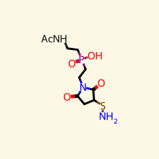 CC(=O)NCCP(=O)(O)CCN1C(=O)CC(SN)C1=O